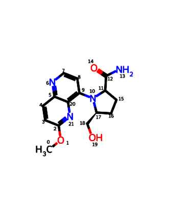 COc1ccc2nccc(N3C(C(N)=O)[CH]C[C@H]3CO)c2n1